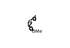 COc1ccc(CN2CCN(Cc3cccc(C)c3)CC2)cc1